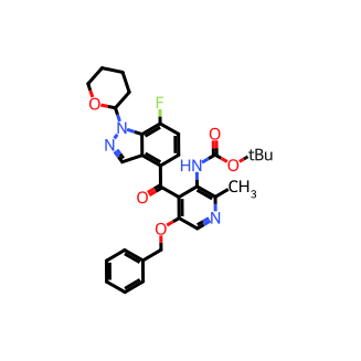 Cc1ncc(OCc2ccccc2)c(C(=O)c2ccc(F)c3c2cnn3C2CCCCO2)c1NC(=O)OC(C)(C)C